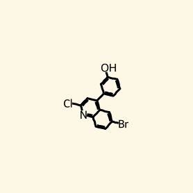 Oc1cccc(-c2cc(Cl)nc3ccc(Br)cc23)c1